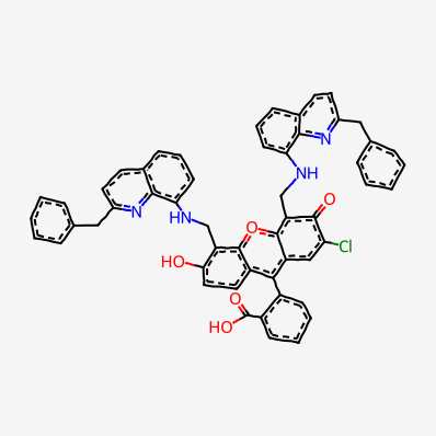 O=C(O)c1ccccc1-c1c2cc(Cl)c(=O)c(CNc3cccc4ccc(Cc5ccccc5)nc34)c-2oc2c(CNc3cccc4ccc(Cc5ccccc5)nc34)c(O)ccc12